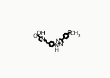 COc1ccc(-c2cnc(Nc3ccc(CCN4CCC(C(=O)O)C4)cc3)nc2)cc1